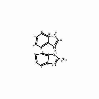 [Zn].c1ccc2scnc2c1.c1ccc2scnc2c1